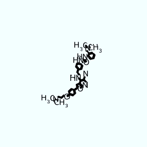 CN(C)CCCOc1ccc(-c2cc3c(NCCc4ccc(NC(=O)Nc5ccccc5CN(C)C)cc4)c(C#N)cnc3o2)cc1